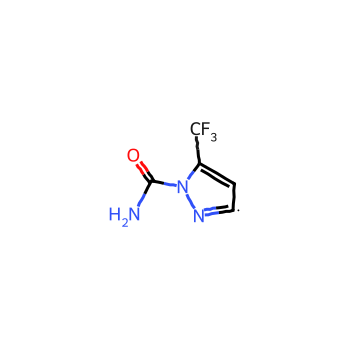 NC(=O)n1n[c]cc1C(F)(F)F